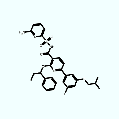 CCC(Oc1nc(-c2cc(F)cc(OCC(C)C)c2)ccc1C(=O)NS(=O)(=O)c1cccc(N)n1)c1ccccc1